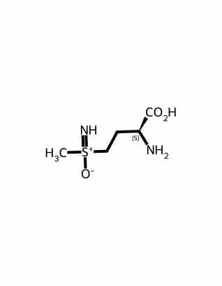 C[S+](=N)([O-])CC[C@H](N)C(=O)O